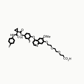 COc1cc2c(Oc3ccc(NC(=O)C4(C(=O)Nc5ccc(F)cc5)CC4)cc3F)ccnc2cc1OCCOCCOCCC(=O)O